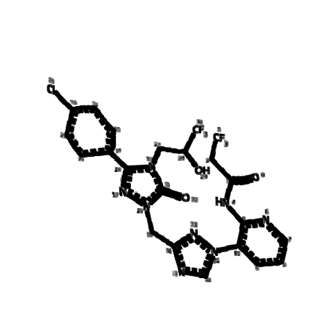 O=C(CC(F)(F)F)Nc1ncccc1-n1cnc(Cn2nc(-c3ccc(Cl)cc3)n(CC(O)C(F)(F)F)c2=O)n1